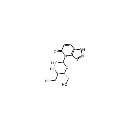 CC(O[C@H](CO)C(O)CO)n1c(=O)ccc2[nH]nnc21